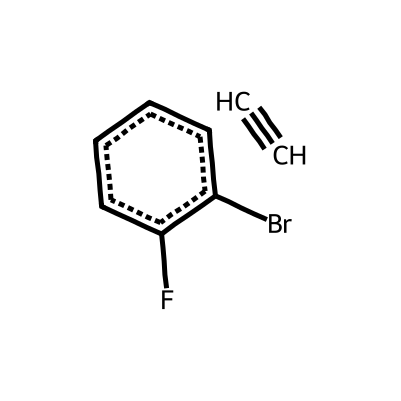 C#C.Fc1ccccc1Br